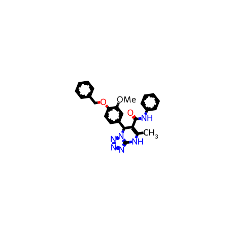 COc1cc(C2C(C(=O)Nc3ccccc3)=C(C)Nc3nnnn32)ccc1OCc1ccccc1